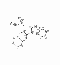 CCOC(CN(CC1CCCCC1)C(=O)[C@@H](CN)Cc1ccccc1)OCC